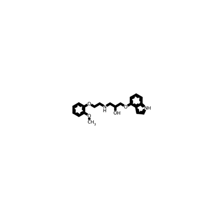 COc1ccccc1OCCNCC(O)COc1cccc2[nH]ccc12